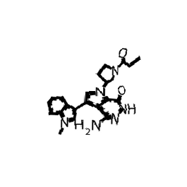 C=CC(=O)N1CCC(n2cc(-c3cn(C)c4ccccc34)c3c(N)n[nH]c(=O)c32)C1